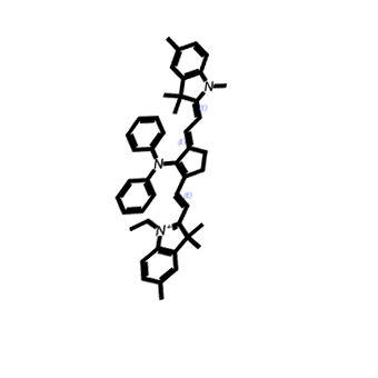 CC[N+]1=C(/C=C/C2=C(N(c3ccccc3)c3ccccc3)C(=C/C=C3/N(C)c4ccc(C)cc4C3(C)C)/CC2)C(C)(C)c2cc(C)ccc21